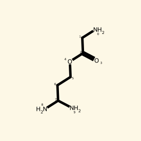 NCC(=O)OCCC(N)N